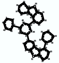 c1ccc(-c2nc(-c3ccc4oc5cccc(-c6ccccc6)c5c4c3)nc(-c3cccc4oc5ccccc5c34)n2)cc1